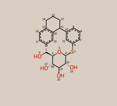 OC[C@H]1O[C@@H](Sc2cccc(C3CCCc4ccccc43)c2)[C@H](O)[C@@H](O)[C@@H]1O